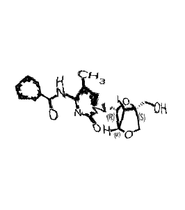 Cc1cn([C@@H]2O[C@@]3(CO)CO[C@H]2C3I)c(=O)nc1NC(=O)c1ccccc1